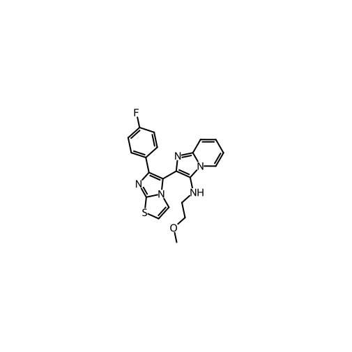 COCCNc1c(-c2c(-c3ccc(F)cc3)nc3sccn23)nc2ccccn12